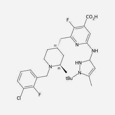 CC1=CC(Nc2cc(C(=O)O)c(F)c(C[C@H]3CCN(Cc4cccc(Cl)c4F)[C@H](C)C3)n2)NN1C(C)(C)C